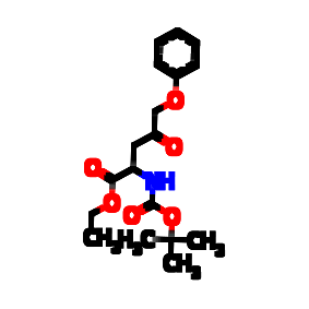 CCOC(=O)C(CC(=O)COc1ccccc1)NC(=O)OC(C)(C)C